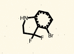 FC1(F)CCNc2cccc(Br)c21